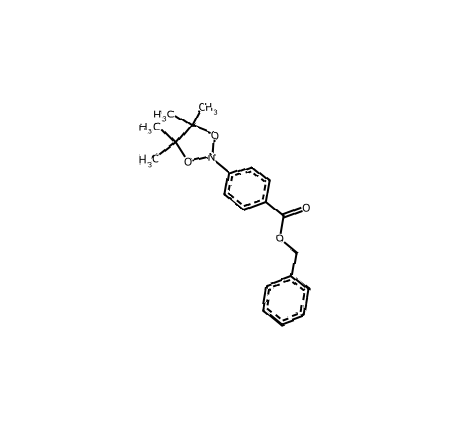 CC1(C)ON(c2ccc(C(=O)OCc3ccccc3)cc2)OC1(C)C